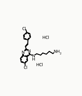 Cl.Cl.NCCCCCCNc1nc(C=Cc2ccc(Cl)cc2)nc2ccc(Cl)cc12